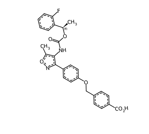 Cc1onc(-c2ccc(OCc3ccc(C(=O)O)cc3)cc2)c1NC(=O)O[C@H](C)c1ccccc1F